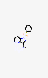 CC(N)c1cn(S(=O)(=O)c2ccccc2)c2cccnc12